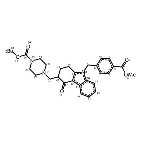 COC(=O)c1ccc(Cn2c3c(c4ccccc42)C(=O)C(CN2CCN(C(=O)OC(C)(C)C)CC2)CC3)cc1